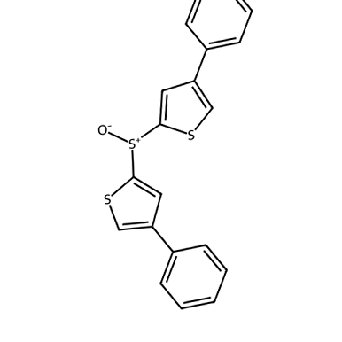 [O-][S+](c1cc(-c2ccccc2)cs1)c1cc(-c2ccccc2)cs1